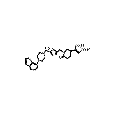 O.O=C(O)/C=C(\C(=O)O)C1CCC(=O)N(Cc2ccc(CN3CCN(c4cccc5ccoc45)CC3)s2)C1